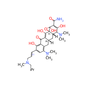 CC(C)CN(C)C/C=C/c1cc(N(C)C)c2c(c1O)C(=O)C1=C(O)[C@]34OC3(O)C(C(N)=O)=C(O)C(N(C)C)[C@@H]4C[C@@H]1C2